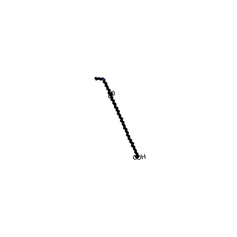 CCCC/C=C\CCCCCCCC(=O)OCCCCCCCCCCCCCCCCCCCCCCCCCCCCCCCCCC(=O)O